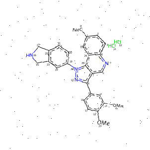 COc1ccc2ncc3c(-c4ccc(OC)c(OC)c4)nn(-c4ccc5c(c4)CNC5)c3c2c1.Cl.Cl